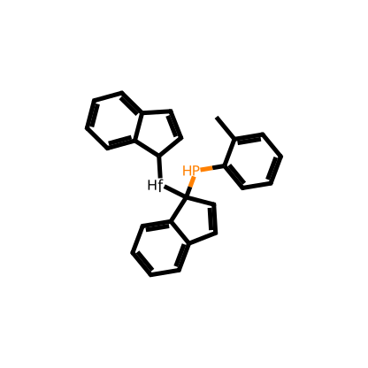 Cc1ccccc1P[C]1([Hf][CH]2C=Cc3ccccc32)C=Cc2ccccc21